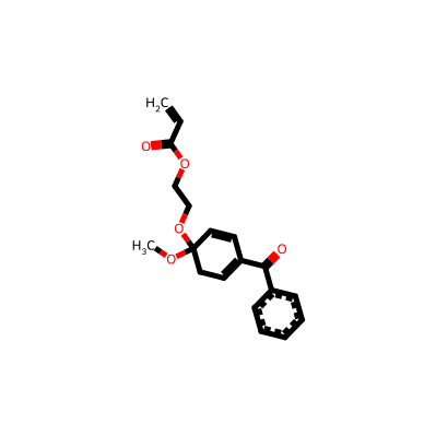 C=CC(=O)OCCOC1(OC)C=CC(C(=O)c2ccccc2)=CC1